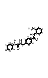 Nc1ccccc1NC(=O)c1ccc(CNC(=O)Nc2cccnc2)cc1